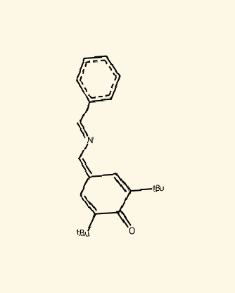 CC(C)(C)C1=CC(=CN=Cc2ccccc2)C=C(C(C)(C)C)C1=O